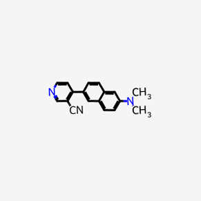 CN(C)c1ccc2cc(-c3ccncc3C#N)ccc2c1